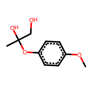 COc1ccc(OC(C)(O)CO)cc1